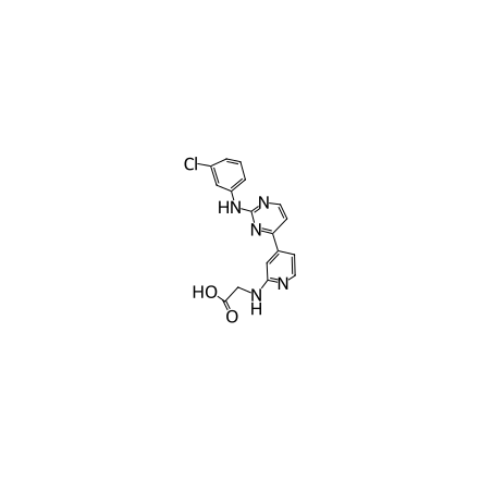 O=C(O)CNc1cc(-c2ccnc(Nc3cccc(Cl)c3)n2)ccn1